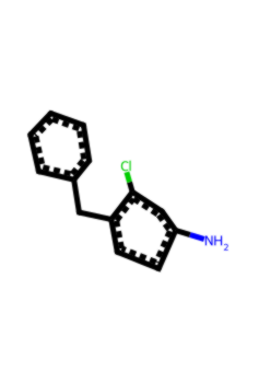 Nc1ccc(Cc2ccccc2)c(Cl)c1